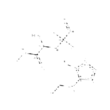 CCOc1ccnn1C.COC(=O)C(N)CC(C)(C)C=O